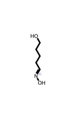 OCCCC/C=N/O